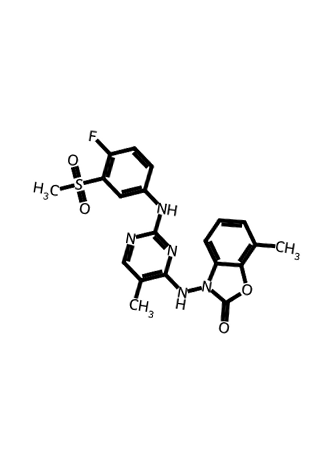 Cc1cnc(Nc2ccc(F)c(S(C)(=O)=O)c2)nc1Nn1c(=O)oc2c(C)cccc21